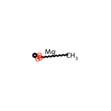 CCCCCCCCCCCCCCCCOS(=O)(=O)c1ccccc1.[Mg]